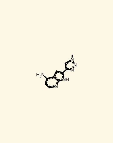 Cn1cc(-c2cc3c(N)ccnc3[nH]2)nn1